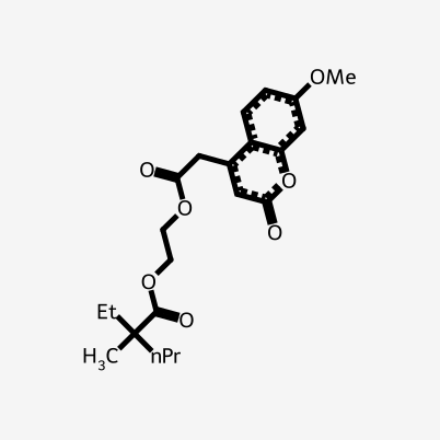 CCCC(C)(CC)C(=O)OCCOC(=O)Cc1cc(=O)oc2cc(OC)ccc12